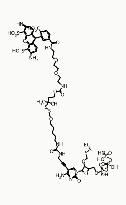 CCSSCOC1C(COP(=O)(O)OP(=O)(O)OP(=O)(O)O)OC1n1cc(C#CCNC(=O)NCCCCCOCSSC(C)(C)CCOC(=O)NCCOCCOCCNC(=O)c2ccc(C(=O)O)c(-c3c4ccc(=N)c(S(=O)(=O)O)c-4oc4c(S(=O)(=O)O)c(N)ccc34)c2)c(N)nc1=O